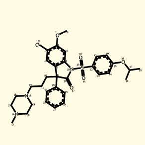 COc1cc2c(cc1Cl)C(CCCN1CCN(C)CC1)(c1ccccc1)C(=O)N2S(=O)(=O)c1ccc(OC(C)C)cc1